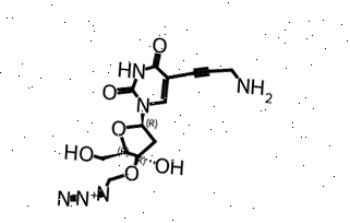 [N-]=[N+]=NCO[C@]1(O)C[C@H](n2cc(C#CCN)c(=O)[nH]c2=O)O[C@@H]1CO